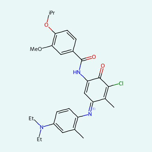 CCN(CC)c1ccc(/N=C2\C=C(NC(=O)c3ccc(OC(C)C)c(OC)c3)C(=O)C(Cl)=C2C)c(C)c1